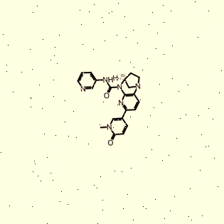 Cn1cc(-c2ccc3c(n2)N(C(=O)Nc2cccnc2)[C@H]2CCN3C2)ccc1=O